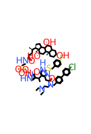 CCN(CC)CCN(Cc1ccc(-c2ccc(Cl)cc2)cc1)C(=O)Cc1nc(SCc2ccc(F)cc2)[nH]c(=O)c1C(C)c1cn[nH]c1.C[C@H](CCC(=O)NCCS(=O)(=O)O)[C@H]1CCC2C3C(C[C@H](O)[C@@]21C)[C@@]1(C)CC[C@@H](O)CC1C[C@H]3O